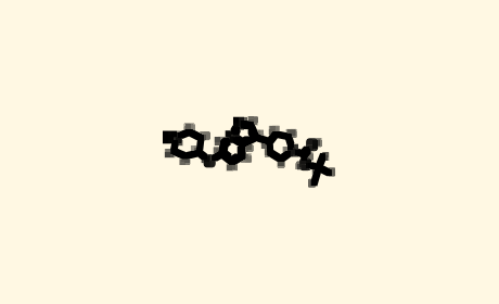 CC(C)(C)OC(=O)N1CCC(c2cnn3cc(OC4CCNCC4)ccc23)CC1